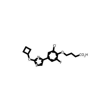 O=C(O)CCCOc1c(F)cc(-c2csc(OC3CCC3)n2)cc1Cl